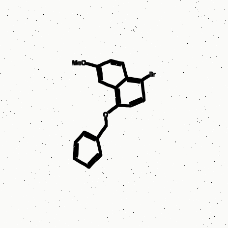 COc1ccc2c(Br)ccc(OCc3ccccc3)c2c1